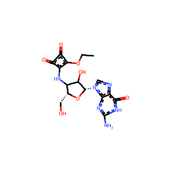 CCOc1c(NC2C(O)[C@H](n3cnc4c(=O)[nH]c(N)nc43)O[C@@H]2CO)c(=O)c1=O